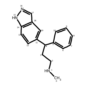 CNCCC(c1ccccc1)c1ccc2[nH]ncc2c1